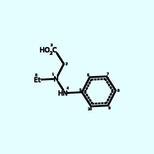 CCN(CC(=O)O)Nc1ccccc1